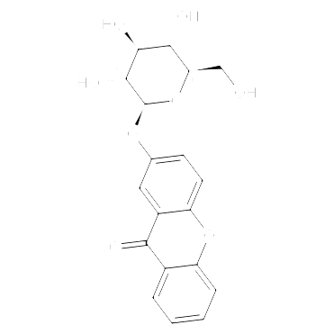 O=c1c2ccccc2oc2ccc(O[C@@H]3O[C@H](CO)[C@@H](O)[C@H](O)[C@H]3O)cc12